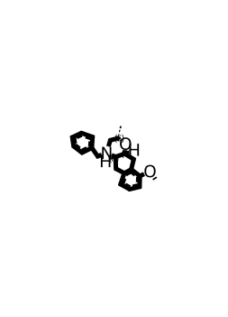 COc1cccc2c1C[C@H]1O[C@@H](C)CN(Cc3ccccc3)[C@@H]1C2